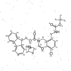 CC(C)(C)OC(=O)NCc1ccc(Cl)cc1CN(C(=O)OCC1c2ccccc2-c2ccccc21)C(=O)[C@@H]1CCN1